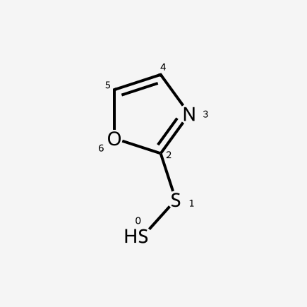 SSc1ncco1